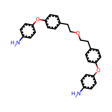 Nc1ccc(Oc2ccc(CCOCCc3ccc(Oc4ccc(N)cc4)cc3)cc2)cc1